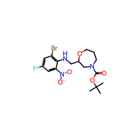 CC(C)(C)OC(=O)N1CCCOC(CNc2c(Br)cc(F)cc2[N+](=O)[O-])C1